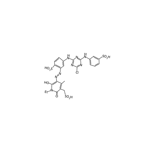 CCn1c(O)c(N=Nc2cc(Nc3nc(Cl)nc(Nc4cccc(S(=O)(=O)O)c4)n3)ccc2S(=O)(=O)O)c(C)c(CS(=O)(=O)O)c1=O